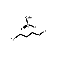 CCOCCCN.CO[PH](=O)O